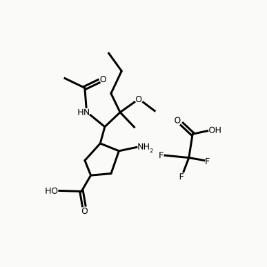 CCCC(C)(OC)C(NC(C)=O)C1CC(C(=O)O)CC1N.O=C(O)C(F)(F)F